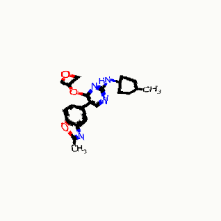 Cc1nc2cc(-c3cnc(NC4CCC(C)CC4)nc3OC3COC3)ccc2o1